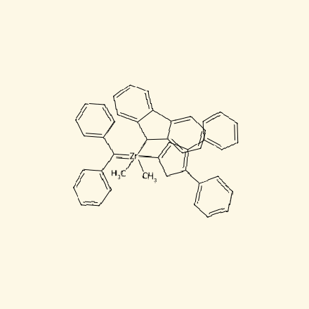 [CH3][Zr]([CH3])([C]1=CC(c2ccccc2)=C(c2ccccc2)C1)(=[C](c1ccccc1)c1ccccc1)[CH]1c2ccccc2-c2ccccc21